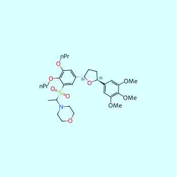 CCCOc1cc([C@@H]2CC[C@@H](c3cc(OC)c(OC)c(OC)c3)O2)cc(S(=O)(=O)C(C)N2CCOCC2)c1OCCC